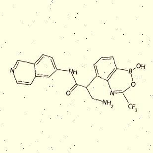 NCC(C(=O)Nc1ccc2cnccc2c1)c1cccc2c1N=C(C(F)(F)F)OB2O